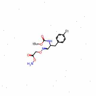 CCc1ccc(CC(C=NOCC(=O)ON)NC(=O)OC(C)(C)C)cc1